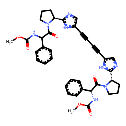 COC(=O)NC(C(=O)N1CCC[C@H]1c1ncc(C#CC#Cc2cnc([C@@H]3CCCN3C(=O)[C@H](NC(=O)OC)c3ccccc3)[nH]2)[nH]1)c1ccccc1